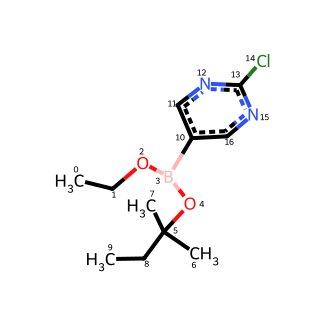 CCOB(OC(C)(C)CC)c1cnc(Cl)nc1